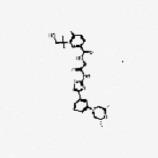 Cc1ccc(C(=O)NCC(=O)Nc2nc(-c3cccc(N4C[C@@H](C)O[C@@H](C)C4)c3)cs2)cc1C(C)(C)CO